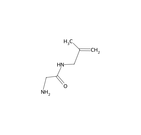 C=C(C)CNC(=O)CN